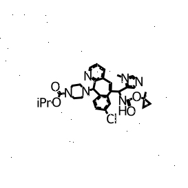 CC(C)OC(=O)N1CCN(C2c3ccc(Cl)cc3C(C(NC(=O)OC3(C)CC3)c3cncn3C)=Cc3cccnc32)CC1